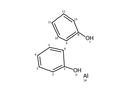 Oc1ccccc1.Oc1ccccc1.[Al]